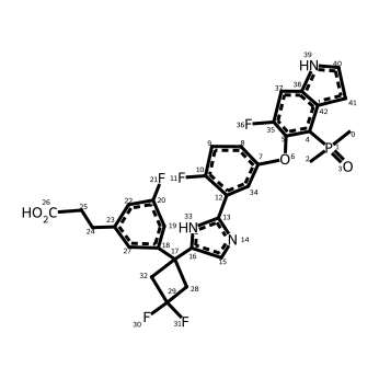 CP(C)(=O)c1c(Oc2ccc(F)c(-c3ncc(C4(c5cc(F)cc(CCC(=O)O)c5)CC(F)(F)C4)[nH]3)c2)c(F)cc2[nH]ccc12